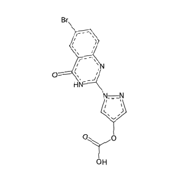 O=C(O)Oc1cnn(-c2nc3ccc(Br)cc3c(=O)[nH]2)c1